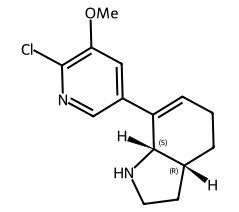 COc1cc(C2=CCC[C@@H]3CCN[C@H]23)cnc1Cl